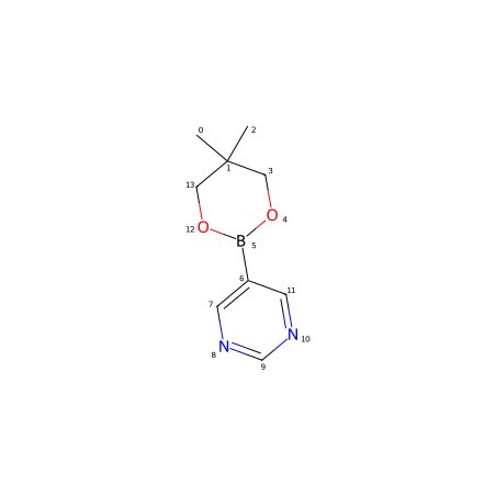 CC1(C)COB(c2cncnc2)OC1